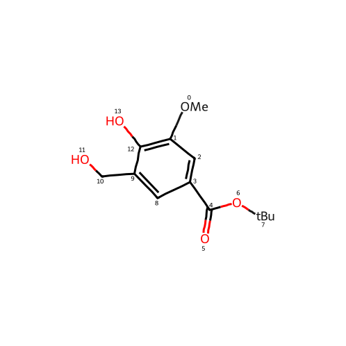 COc1cc(C(=O)OC(C)(C)C)cc(CO)c1O